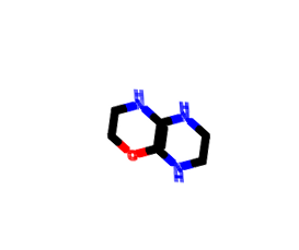 C1CNC2=C(N1)NCCO2